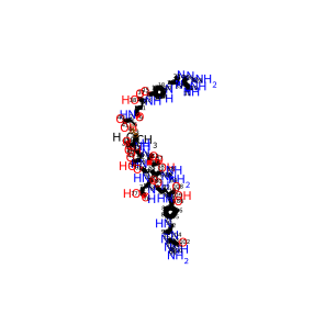 CC(C)(SSC[C@H](NC(=O)CC[C@H](NC(=O)c1ccc(NCc2cnc3nc(N)[nH]c(=N)c3n2)cc1)C(=O)O)C(=O)O)[C@H](NC(=O)[C@H](CC(=O)O)NC(=O)[C@H](CC(=O)O)NC(=O)[C@H](CCCNC(=N)N)NC(=O)[C@H](CC(=O)O)NC(=O)CC[C@H](NC(=O)c1ccc(NCc2cnc3nc(N)[nH]c(=O)c3n2)cc1)C(=O)O)C(=O)O